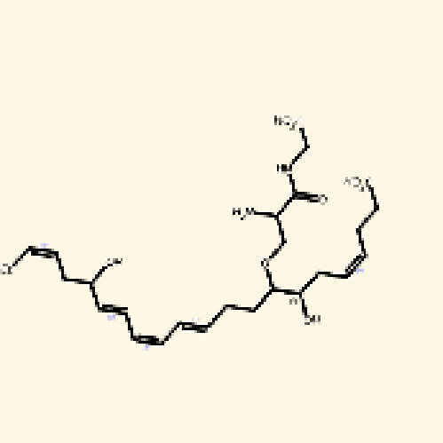 CC/C=C\CC(O)/C=C/C=C\C=C\CCC(OCC(N)C(=O)NCC(=O)O)[C@H](O)C/C=C\CCC(=O)O